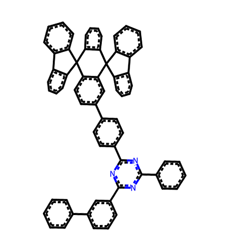 c1ccc(-c2cccc(-c3nc(-c4ccccc4)nc(-c4ccc(-c5ccc6c(c5)C5(c7ccccc7-c7ccccc75)c5ccccc5C65c6ccccc6-c6ccccc65)cc4)n3)c2)cc1